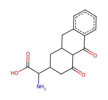 NC(C(=O)O)C1CC(=O)C2C(=O)c3ccccc3CC2C1